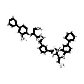 C=C/C(=N\c1ccc(-c2ccccc2)cc1C)c1nnc(-c2cccc(-c3nnc(C(=C/C)/N=C4/C=CC(c5ccccc5)=CC4=C)o3)c2)o1